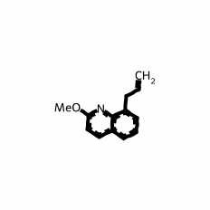 C=CCc1cccc2ccc(OC)nc12